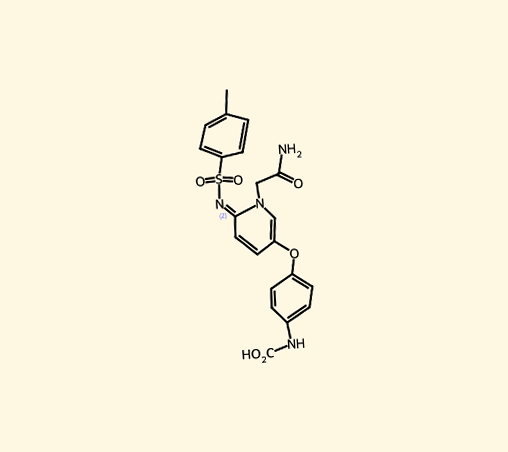 Cc1ccc(S(=O)(=O)/N=c2/ccc(Oc3ccc(NC(=O)O)cc3)cn2CC(N)=O)cc1